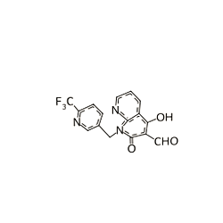 O=Cc1c(O)c2cccnc2n(Cc2ccc(C(F)(F)F)nc2)c1=O